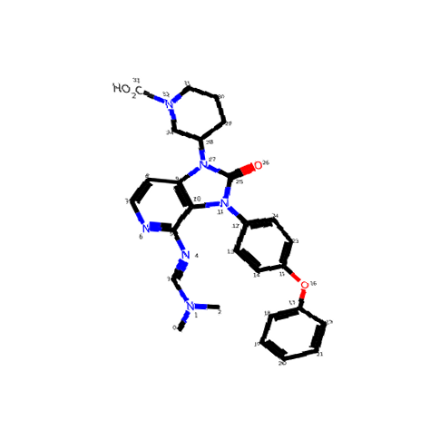 CN(C)C=Nc1nccc2c1n(-c1ccc(Oc3ccccc3)cc1)c(=O)n2C1CCCN(C(=O)O)C1